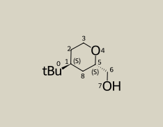 CC(C)(C)[C@H]1CCO[C@H](CO)C1